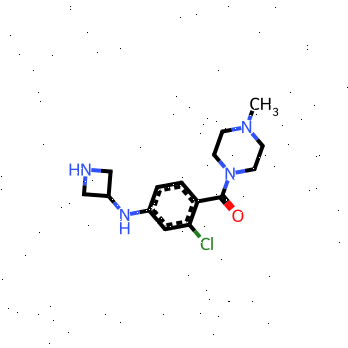 CN1CCN(C(=O)c2ccc(NC3CNC3)cc2Cl)CC1